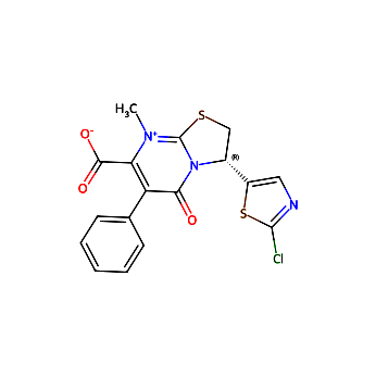 C[n+]1c(C(=O)[O-])c(-c2ccccc2)c(=O)n2c1SC[C@@H]2c1cnc(Cl)s1